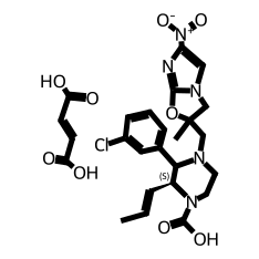 CC=C[C@H]1C(c2cccc(Cl)c2)N(CC2(C)Cn3cc([N+](=O)[O-])nc3O2)CCN1C(=O)O.O=C(O)C=CC(=O)O